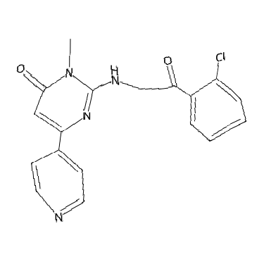 Cn1c(NCC(=O)c2ccccc2Cl)nc(-c2ccncc2)cc1=O